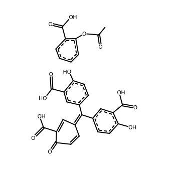 CC(=O)Oc1ccccc1C(=O)O.O=C(O)C1=CC(=C(c2ccc(O)c(C(=O)O)c2)c2ccc(O)c(C(=O)O)c2)C=CC1=O